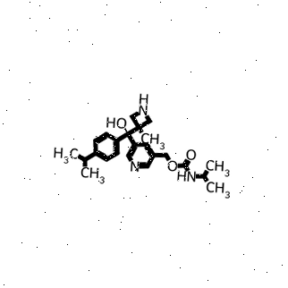 CC(C)NC(=O)OCc1cncc([C@@](O)(c2ccc(C(C)C)cc2)C2(C)CNC2)c1